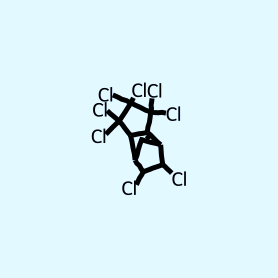 ClC1C2=C3C(C(C2)C1Cl)C(Cl)(Cl)C(Cl)(Cl)C3(Cl)Cl